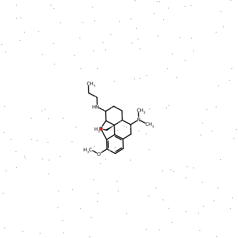 CCCNC1CCC2C(N(C)C)Cc3ccc(OC)c4c3[C@]2(CC)C1O4